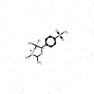 CCOC(C)O[C@H](c1ccc(S(C)(=O)=O)cc1)[C@@](C)(O)CC